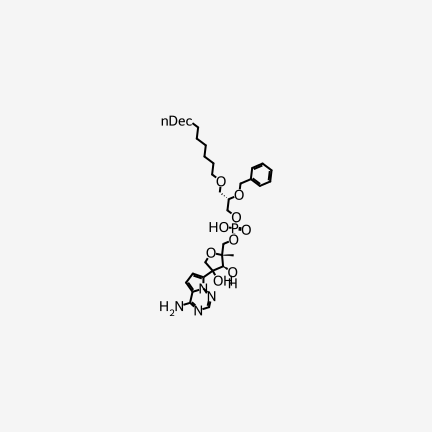 CCCCCCCCCCCCCCCCOC[C@@H](COP(=O)(O)OC[C@@]1(C)OCC(O)(c2ccc3c(N)ncnn23)[C@@H]1O)OCc1ccccc1